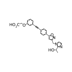 CC(O)c1nccn1Cc1cc(-c2ccc(C#Cc3cccc(OCC(=O)O)c3)cc2)on1